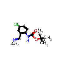 CN=Cc1cc(Cl)ccc1NC(=O)OC(C)(C)C